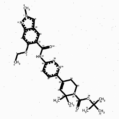 CCOc1cc2nn(C)cc2cc1C(=O)Nc1ccc(C2=CC(C)(C)N(C(=O)OC(C)(C)C)CC2)nn1